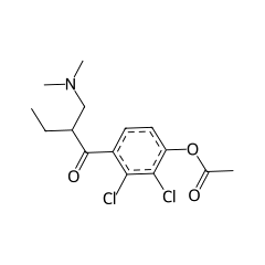 CCC(CN(C)C)C(=O)c1ccc(OC(C)=O)c(Cl)c1Cl